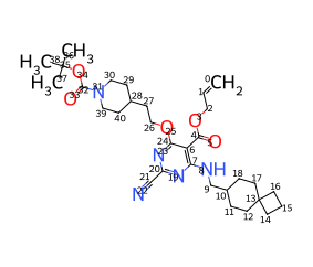 C=CCOC(=O)c1c(NCC2CCC3(CCC3)CC2)nc(C#N)nc1OCCC1CCN(C(=O)OC(C)(C)C)CC1